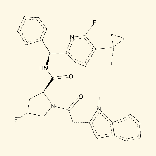 Cn1c(CC(=O)N2C[C@H](F)C[C@H]2C(=O)N[C@@H](c2ccccc2)c2ccc(C3(C)CC3)c(F)n2)cc2ccccc21